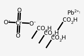 CC(=O)O.CC(=O)O.CC(=O)O.CC(=O)O.[O]=[Cr](=[O])([O-])[O-].[Pb+2]